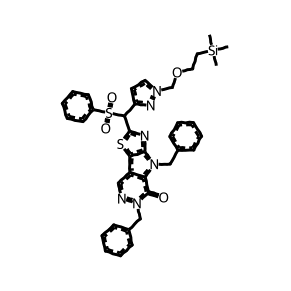 C[Si](C)(C)CCOCn1ccc(C(c2nc3c(s2)c2cnn(Cc4ccccc4)c(=O)c2n3Cc2ccccc2)S(=O)(=O)c2ccccc2)n1